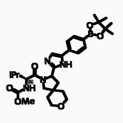 COC(=O)N[C@H](C(=O)N1CC2(CCOCC2)CC1c1ncc(-c2ccc(B3OC(C)(C)C(C)(C)O3)cc2)[nH]1)C(C)C